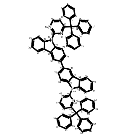 c1ccc(C(c2ccccc2)(c2ccccc2)c2ccnc(-n3c4ccccc4c4cc(-c5ccc6c(c5)c5ccccc5n6-c5nccc(C(c6ccccc6)(c6ccccc6)c6ccccc6)n5)ccc43)n2)cc1